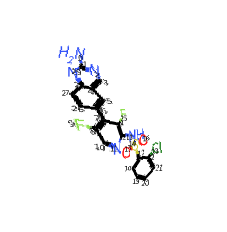 Nc1ncc2cc(-c3c(F)cnc(NS(=O)(=O)c4ccccc4Cl)c3F)ccc2n1